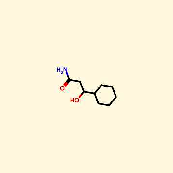 NC(=O)CC(O)C1CCCCC1